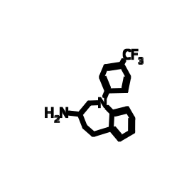 NC1CCc2ccccc2N(c2ccc(C(F)(F)F)cc2)C1